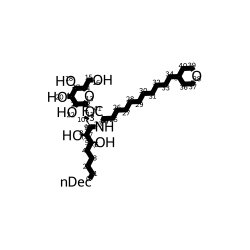 CCCCCCCCCCCCCC[C@@H](O)[C@@H](O)[C@H](COC1OC(CO)C(O)C(O)C1O)N[C@@H](CCCCCCCCCCC1CCOCC1)C(F)(F)F